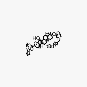 CC(C)[C@@H](OC(=O)N1CCC1)C1C[C@@H](C)[C@H]2C(O1)[C@H](O)[C@@]1(C)C3CC[C@H]4C(C)(C)[C@@H](O[C@H]5CN(CC6CN(C(C)(C)C)C6)CCO5)CC[C@@]45C[C@@]35CC[C@]21C